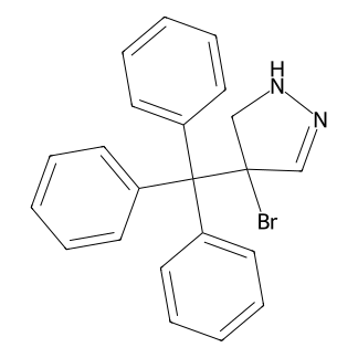 BrC1(C(c2ccccc2)(c2ccccc2)c2ccccc2)C=NNC1